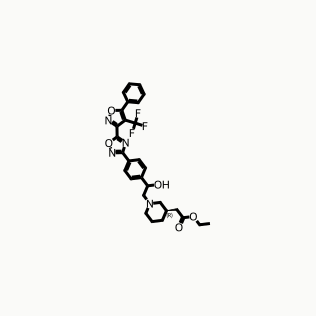 CCOC(=O)C[C@H]1CCCN(CC(O)c2ccc(-c3noc(-c4noc(-c5ccccc5)c4C(F)(F)F)n3)cc2)C1